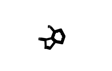 O=C1N=Cc2cccc(Br)c21